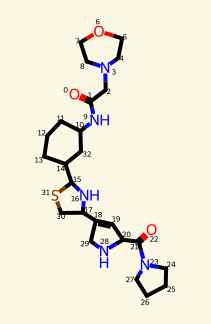 O=C(CN1CCOCC1)NC1CCCC(C2NC(C3=CC(C(=O)N4CCCC4)NC3)CS2)C1